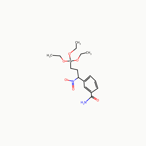 CCO[Si](CCC(c1cccc(C(N)=O)c1)[N+](=O)[O-])(OCC)OCC